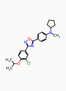 CC(C)Oc1ccc(-c2noc(-c3ccc(N(C)C4CCCC4)cc3)n2)cc1Cl